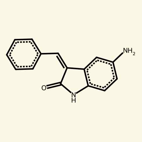 Nc1ccc2c(c1)C(=Cc1ccccc1)C(=O)N2